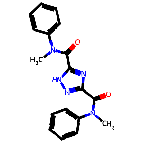 CN(C(=O)c1n[nH]c(C(=O)N(C)c2ccccc2)n1)c1ccccc1